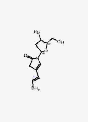 B/C=C/C1=CN([C@H]2CC(O)[C@@H](CO)O2)C(=O)C1